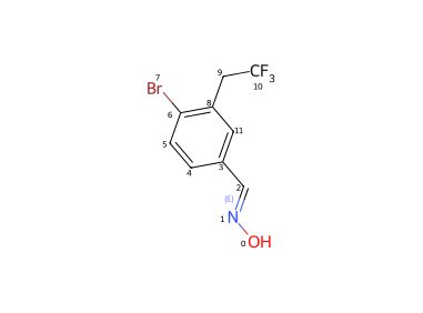 O/N=C/c1ccc(Br)c(CC(F)(F)F)c1